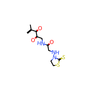 C=C(C)C(=O)C(=O)CNC(=O)CNN1CCSC1=S